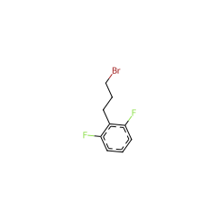 Fc1cccc(F)c1CCCBr